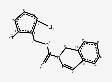 O=C(OCc1c(Cl)cccc1Cl)N1C=Cc2ccccc2C1